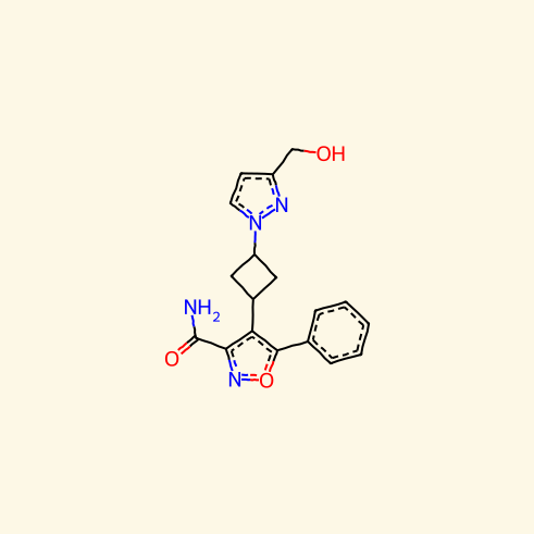 NC(=O)c1noc(-c2ccccc2)c1C1CC(n2ccc(CO)n2)C1